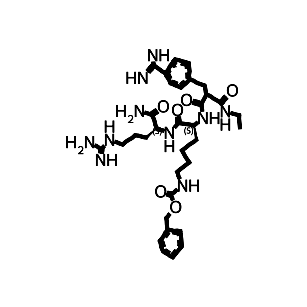 CCNC(=O)C(Cc1ccc(C(=N)N)cc1)C(=O)N[C@@H](CCCCNC(=O)OCc1ccccc1)C(=O)N[C@@H](CCCNC(=N)N)C(N)=O